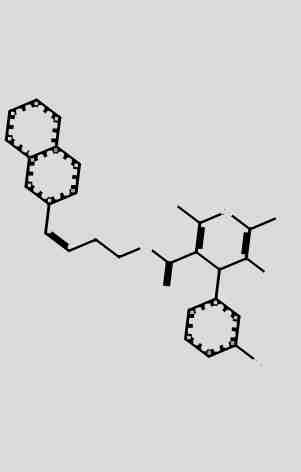 CC1=C(C(=O)O)C(c2cccc([N+](=O)[O-])c2)C(C(=O)OCC/C=C\c2ccc3ccccc3c2)=C(C)N1